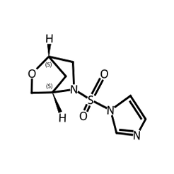 O=S(=O)(N1C[C@@H]2C[C@H]1CO2)n1ccnc1